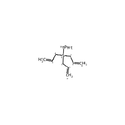 C=CCS(CC=C)(CC=C)CCCCC